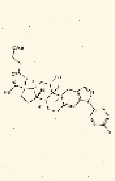 COCCC(=O)O[C@]1(C(=O)S)CC[C@H]2[C@@H]3CCC4=Cc5c(cnn5-c5ccc(F)cc5)C[C@]4(C)[C@H]3[C@@H](O)C[C@@]21C